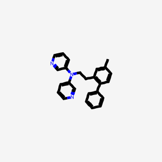 Cc1ccc(-c2ccccc2)c(CCN(c2cccnc2)c2cccnc2)c1